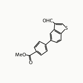 COC(=O)c1ccc(-c2ccc3scc(C=O)c3c2)cc1